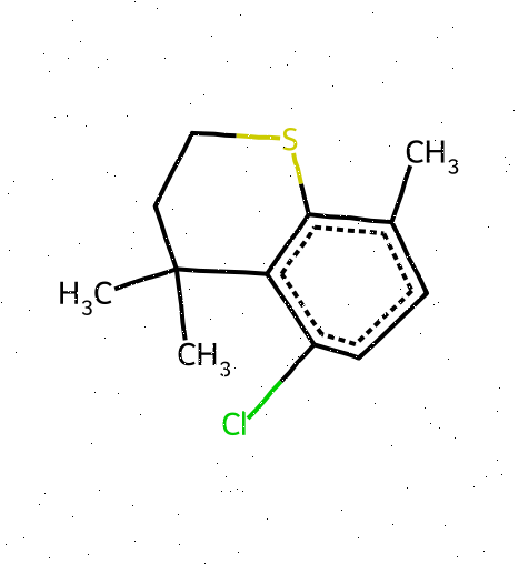 Cc1ccc(Cl)c2c1SCCC2(C)C